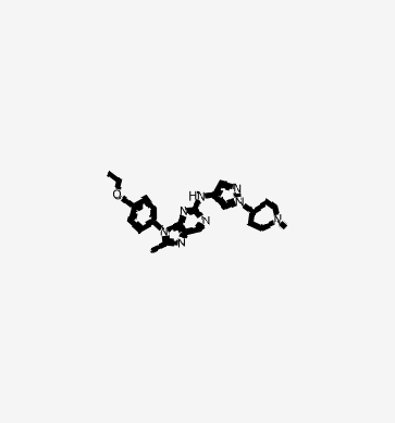 CCOc1ccc(-n2c(C)nc3cnc(Nc4cnn(C5CCN(C)CC5)c4)nc32)cc1